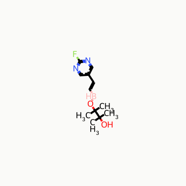 CC(C)(O)C(C)(C)OB/C=C/c1cnc(F)nc1